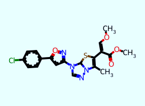 CO/C=C(\C(=O)OC)C1=C(C)N2N=CN(c3cc(-c4ccc(Cl)cc4)on3)C2S1